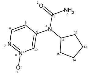 NC(=O)N(c1ccn[n+]([O-])c1)C1CCCC1